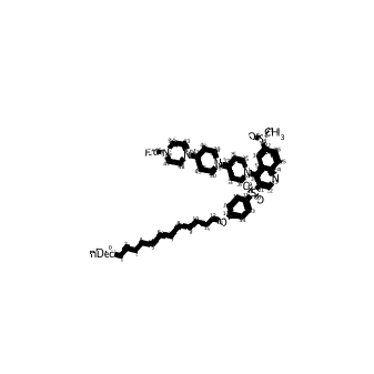 CCCCCCCCCCCCCCCCCCCCCCOc1ccc(S(=O)(=O)c2cnc3ccc([S@@+](C)[O-])cc3c2N2CCC(N3CCC(N4CCN(CC)CC4)CC3)CC2)cc1